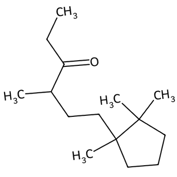 CCC(=O)C(C)CCC1(C)CCCC1(C)C